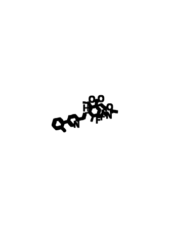 Cc1nnc(C[C@@]23CC(F)(F)[C@@H](C)[C@H](/C=C/c4ccc(-c5ccccc5C)cn4)[C@@H]2[C@@H](C)OC3=O)o1